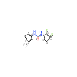 O=C(Nc1cccc(C(F)(F)F)c1)Nc1cccc(F)c1F